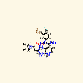 CN(C)CCc1nc2nccc(C(=N)N(O)c3ccc(F)c(Br)c3)c2[nH]1